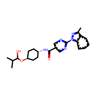 Cc1nn(-c2ncc(C(=O)N[C@H]3CC[C@H](OC(O)C(C)C)CC3)cn2)c2ccccc12